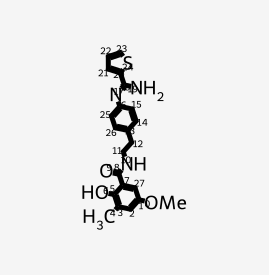 COc1cc(C)c(O)c(C(=O)NCCc2ccc(/N=C(\N)c3cccs3)cc2)c1